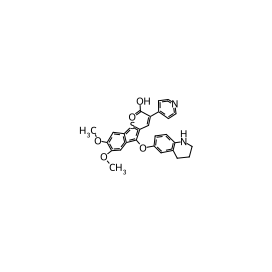 COc1cc2sc(C=C(C(=O)O)c3ccncc3)c(Oc3ccc4c(c3)CCCN4)c2cc1OC